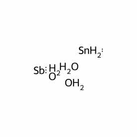 O.O.O.[Sb].[SnH2]